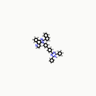 CN1C(c2ccccc2)=NC(c2ccc(-c3ccc(-n4c(-c5cccc6ccccc56)nc5c6ccccc6c6ncccc6c54)cc3)cc2)=NC1c1ccccc1